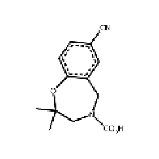 CC1(C)CN(C(=O)O)Cc2cc(C#N)ccc2O1